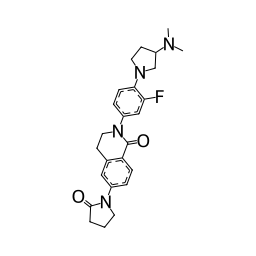 CN(C)C1CCN(c2ccc(N3CCc4cc(N5CCCC5=O)ccc4C3=O)cc2F)C1